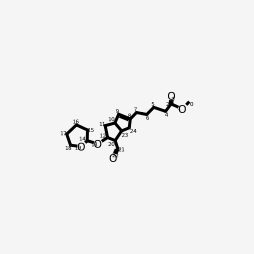 COC(=O)CCCCC1=CC2CC(OC3CCCCO3)C(C=O)C2C1